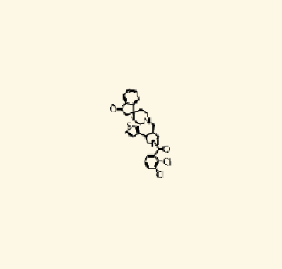 O=C1CC2(CCN(CC3CN(C(=O)c4cccc(Cl)c4Cl)CC3c3ccsc3)CC2)c2ccccc21